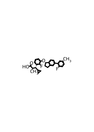 Cc1ccc(F)c(-c2ccc3c(c2)CC[C@H]3Oc2cccc([C@H](C3CC3)[C@@H](C)C(=O)O)c2F)c1